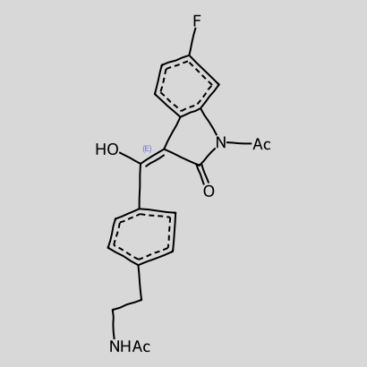 CC(=O)NCCc1ccc(/C(O)=C2\C(=O)N(C(C)=O)c3cc(F)ccc32)cc1